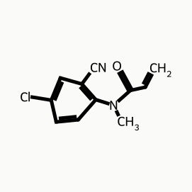 C=CC(=O)N(C)c1ccc(Cl)cc1C#N